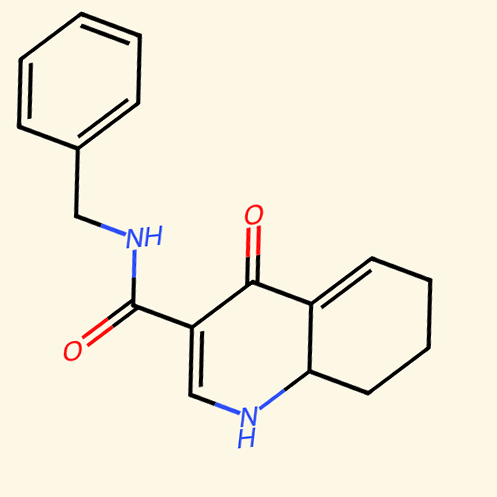 O=C(NCc1ccccc1)C1=CNC2CCCC=C2C1=O